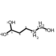 O[SiH2][SiH2]CCC(O)O